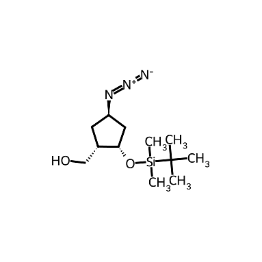 CC(C)(C)[Si](C)(C)O[C@H]1C[C@H](N=[N+]=[N-])C[C@H]1CO